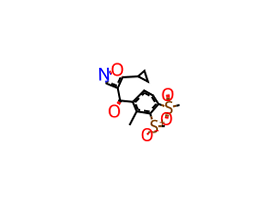 Cc1c(C(=O)c2cnoc2C2CC2)ccc(S(C)(=O)=O)c1[S+](C)[O-]